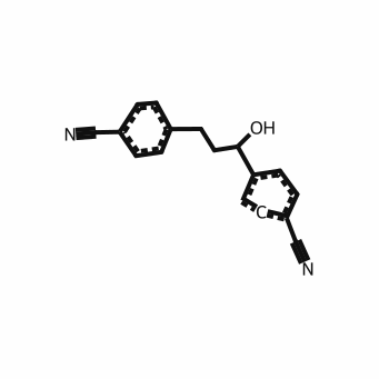 N#Cc1ccc(CCC(O)c2ccc(C#N)cc2)cc1